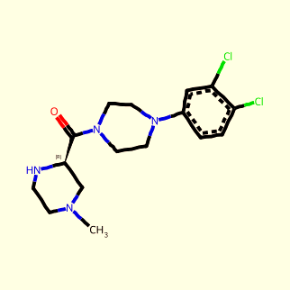 CN1CCN[C@@H](C(=O)N2CCN(c3ccc(Cl)c(Cl)c3)CC2)C1